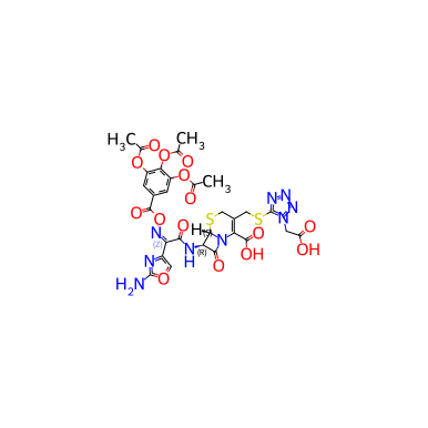 CC(=O)Oc1cc(C(=O)O/N=C(\C(=O)N[C@@H]2C(=O)N3C(C(=O)O)=C(CSc4nnnn4CC(=O)O)CS[C@@H]23)c2coc(N)n2)cc(OC(C)=O)c1OC(C)=O